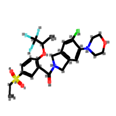 CCS(=O)(=O)c1ccc(OC(C)C(F)(F)F)c(C(=O)N2Cc3cc(Cl)c(N4CCOCC4)cc3C2)c1